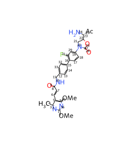 COc1nc(C)c(/C=C/C(=O)NCc2ccc(-c3ccc(N4CC([C@H](N)C(C)=O)OC4=O)cc3F)cc2)c(OC)n1